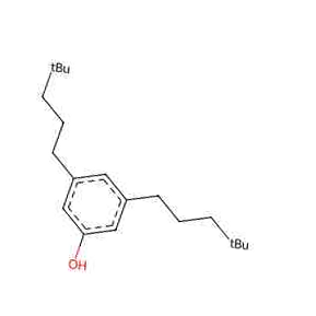 CC(C)(C)CCCc1cc(O)cc(CCCC(C)(C)C)c1